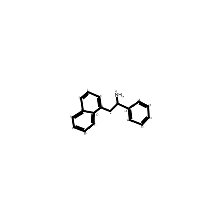 NC(Cc1cccc2ccccc12)c1ccccc1